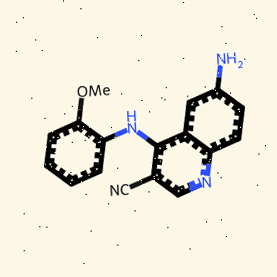 COc1ccccc1Nc1c(C#N)cnc2ccc(N)cc12